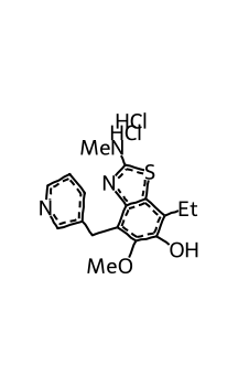 CCc1c(O)c(OC)c(Cc2cccnc2)c2nc(NC)sc12.Cl.Cl